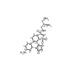 NC[C@@H](N)CNS1(=O)=NS(=O)(=O)c2c1ccc(-c1ccc(N)nc1)c2-c1nn[nH]n1